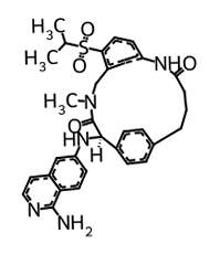 CC(C)S(=O)(=O)c1ccc2cc1CN(C)C(=O)[C@H](Nc1ccc3c(N)nccc3c1)c1ccc(cc1)CCCC(=O)N2